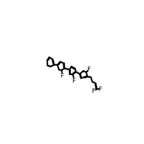 FC(F)=CCCC1=CC=C(c2ccc(C3=CC=C(C4=CC=CCC4)CC3F)cc2F)CC1F